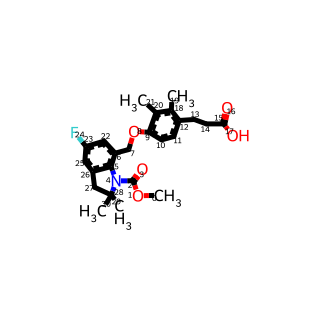 COC(=O)N1c2c(COc3ccc(CCC(=O)O)c(C)c3C)cc(F)cc2CC1(C)C